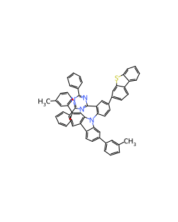 Cc1cccc(-c2ccc3c4ccc(-c5cccc(C)c5)cc4n(-c4ccc(-c5ccc6c(c5)sc5ccccc56)cc4-c4nc(-c5ccccc5)nc(-c5ccccc5)n4)c3c2)c1